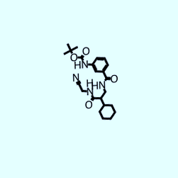 CC(C)(C)OC(=O)Nc1cccc(C(=O)NCC(C(=O)NCC#N)C2CCCCC2)c1